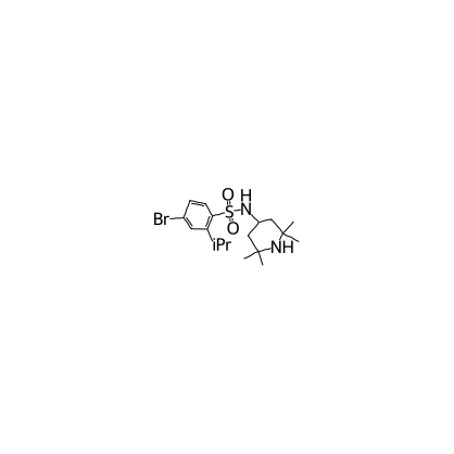 CC(C)c1cc(Br)ccc1S(=O)(=O)NC1CC(C)(C)NC(C)(C)C1